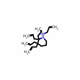 C=CCNN1CCCC(CC=C)(CC=C)C1(CC=C)CC=C